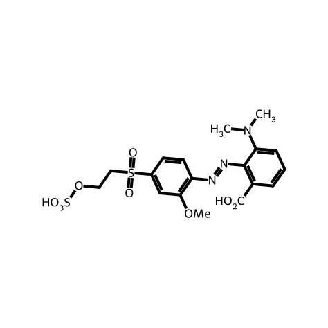 COc1cc(S(=O)(=O)CCOS(=O)(=O)O)ccc1N=Nc1c(C(=O)O)cccc1N(C)C